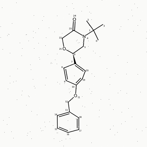 CC(C)(C)N1C[C@@H](c2ccc(OCc3ccccc3)cc2)OCC1=O